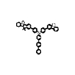 CC1(C)c2cc(-c3ccc(N(c4ccc(-c5ccc(-c6ccccc6)cc5)cc4)c4ccc(-c5ccc6oc7ccccc7c6c5)cc4)cc3)ccc2-c2oc3ccccc3c21